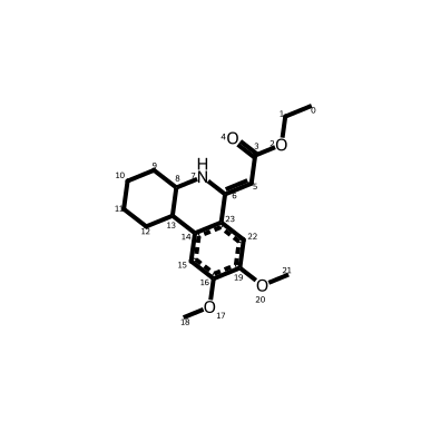 CCOC(=O)C=C1NC2CCCCC2c2cc(OC)c(OC)cc21